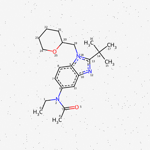 CCN(C(C)=O)c1ccc2c(c1)nc(C(C)(C)C)n2CC1CCCCO1